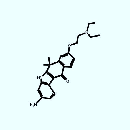 CCN(CC)CCOc1ccc2c(c1)C(C)(C)c1[nH]c3cc(N)ccc3c1C2=O